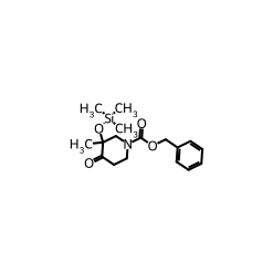 CC1(O[Si](C)(C)C)CN(C(=O)OCc2ccccc2)CCC1=O